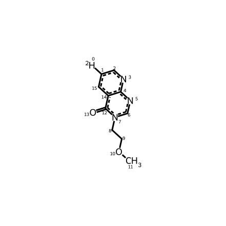 [2H]c1cnc2ncn(CCOC)c(=O)c2c1